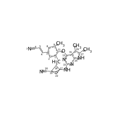 Cc1cc(/C=C/C#N)cc(C)c1Oc1nc(NC23CC(C#N)(C2)C3)nc2[nH]c(C)c(C)c12